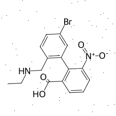 CCNCc1ccc(Br)cc1-c1c(C(=O)O)cccc1[N+](=O)[O-]